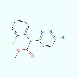 COC(=O)C(c1ccc(Cl)nn1)c1ccccc1F